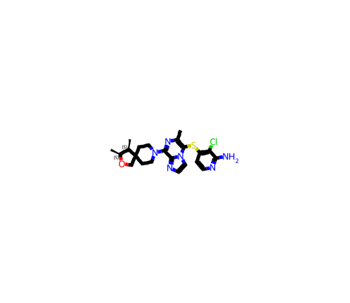 Cc1nc(N2CCC3(CC2)CO[C@@H](C)[C@H]3C)c2nccn2c1Sc1ccnc(N)c1Cl